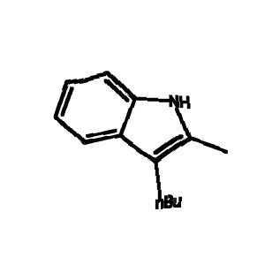 [CH2]CCCc1c(C)[nH]c2ccccc12